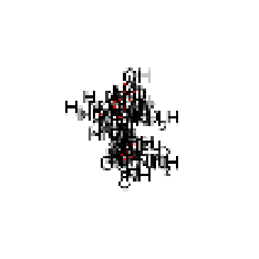 CCCC[C@@H](C(=O)N(C)[C@@H](CCCC)C(=O)N[C@@H](C)C(=O)N[C@@H](CSCC(=O)N[C@@H](Cc1ccc(O)cc1)C(=O)N(C)[C@@H](C)C(=O)N[C@@H](CCC(=O)O)C(=O)N1CCC[C@H]1C(=O)N[C@@H](Cc1cnc[nH]1)C(=O)N[C@@H](CCCN)C(=O)N1C[C@H](O)C[C@H]1C(C)=O)C(=O)NCC(N)=O)N(C)C(=O)[C@H](Cc1c[nH]c2ccccc12)NC(=O)[C@H](CO)NC(=O)[C@@H](N)Cc1c[nH]c2ccccc12